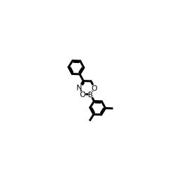 Cc1cc(C)cc(B2OCC(c3ccccc3)=NO2)c1